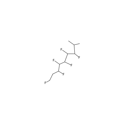 CC(C)C(F)C(F)C(F)C(F)C(F)CCF